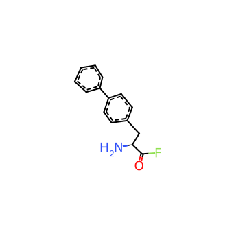 N[C@@H](Cc1ccc(-c2ccccc2)cc1)C(=O)F